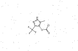 Cc1[nH]nc(C(F)(F)F)c1OC(=O)Cl